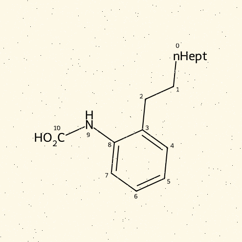 CCCCCCCCCc1ccccc1NC(=O)O